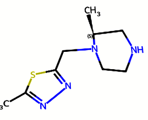 Cc1nnc(CN2CCNC[C@@H]2C)s1